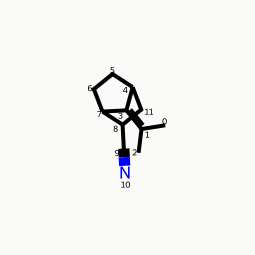 CC(C)=C1C2CCC1C(C#N)C2